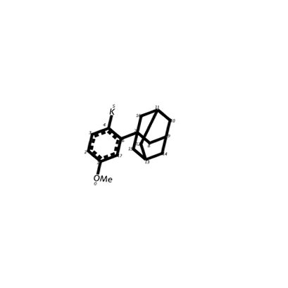 COc1cc[c]([K])c(C23CC4CC(CC(C4)C2)C3)c1